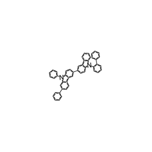 c1ccc(-c2ccc3c4cc(-c5ccc6c(c5)c5ccccc5n6-c5ccccc5-c5ccccc5)ccc4n(-c4ccccc4)c3c2)cc1